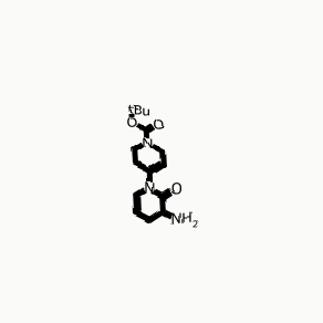 CC(C)(C)OC(=O)N1CC=C(N2C=CCC(N)C2=O)CC1